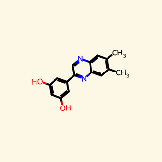 Cc1cc2ncc(-c3cc(O)cc(O)c3)nc2cc1C